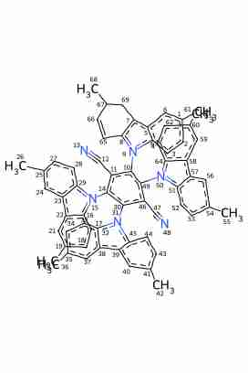 Cc1ccc2c(c1)c1c(n2-c2c(C#N)c(-n3c4ccc(C)cc4c4cc(C)ccc43)c(-n3c4ccc(C)cc4c4cc(C)ccc43)c(C#N)c2-n2c3ccc(C)cc3c3cc(C)ccc32)C=CC(C)C1